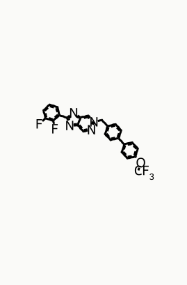 Fc1cccc(-c2nc3cnn(Cc4ccc(-c5ccc(OC(F)(F)F)cc5)cc4)cc-3n2)c1F